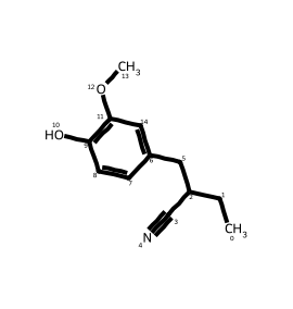 CCC(C#N)Cc1ccc(O)c(OC)c1